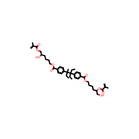 C=C(C)C(=O)OCC(O)CCCCOC(=O)c1ccc(C(C)(CC)C(CC)(CC)c2ccc(C(=O)OCCCCC(CO)OC(=O)C(=C)C)cc2)cc1